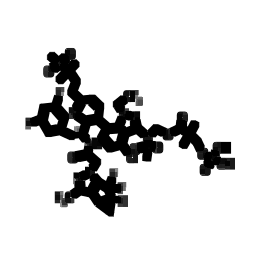 CC(C)(COP(=O)(O)O)C(=O)OCN(c1nn(CC(F)(F)F)c2c(-c3ccc(CCC(C)(C)S(C)(=O)=O)nc3[C@H](Cc3cc(F)cc(F)c3)NC(=O)Cn3nc(C(F)(F)F)c4c3C(F)(F)[C@@H]3CC43)ccc(Cl)c12)S(C)(=O)=O